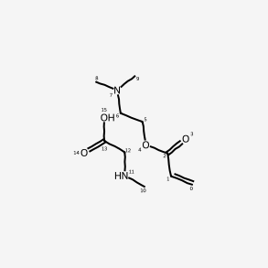 C=CC(=O)OCCN(C)C.CNCC(=O)O